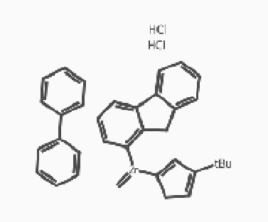 Cl.Cl.[CH2]=[Zr]([C]1=CC(C(C)(C)C)=CC1)[c]1cccc2c1Cc1ccccc1-2.c1ccc(-c2ccccc2)cc1